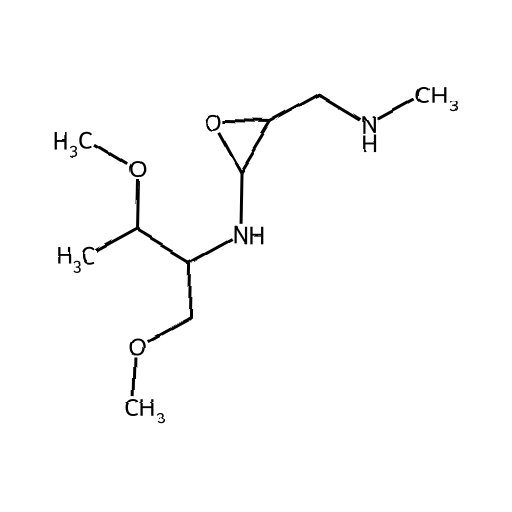 CNCC1OC1NC(COC)C(C)OC